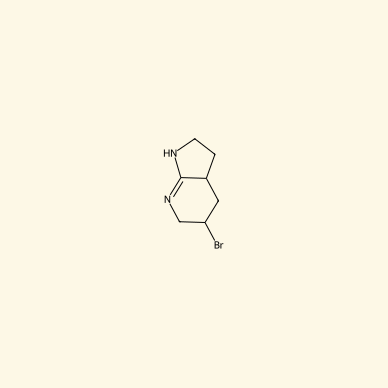 BrC1CN=C2NCCC2C1